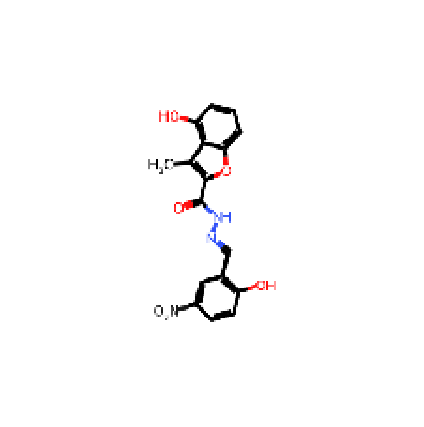 Cc1c(C(=O)NN=Cc2cc([N+](=O)[O-])ccc2O)oc2cccc(O)c12